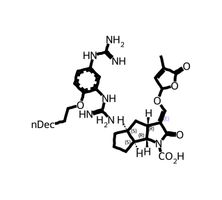 CC1=CC(O/C=C2/C(=O)N(C(=O)O)[C@@H]3[C@H]4CCC[C@H]4C[C@H]23)OC1=O.CCCCCCCCCCCCOc1ccc(NC(=N)N)cc1NC(=N)N